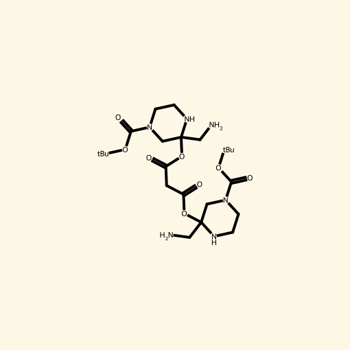 CC(C)(C)OC(=O)N1CCNC(CN)(OC(=O)CC(=O)OC2(CN)CN(C(=O)OC(C)(C)C)CCN2)C1